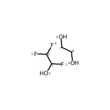 OC(F)C(F)F.OCCO